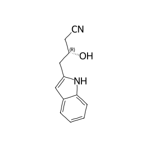 N#CC[C@H](O)Cc1cc2ccccc2[nH]1